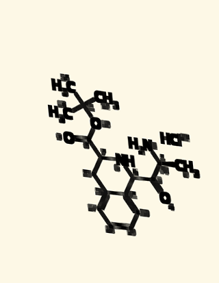 C[C@H](N)C(=O)C1NC(C(=O)OC(C)(C)C)Cc2ccccc21.Cl